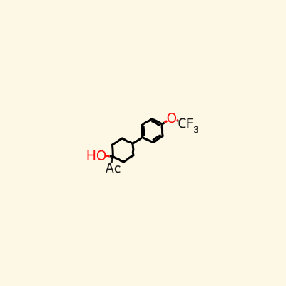 CC(=O)C1(O)CCC(c2ccc(OC(F)(F)F)cc2)CC1